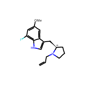 C=CCN1CCC[C@@H]1Cc1c[nH]c2c(F)cc(OC)cc12